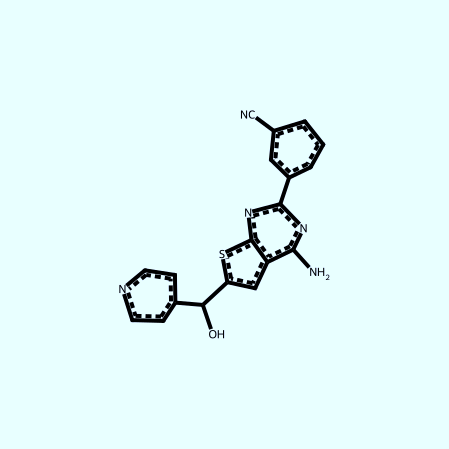 N#Cc1cccc(-c2nc(N)c3cc(C(O)c4ccncc4)sc3n2)c1